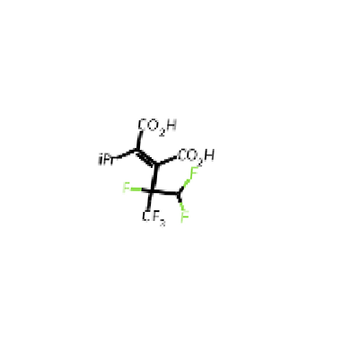 CC(C)C(C(=O)O)=C(C(=O)O)C(F)(C(F)F)C(F)(F)F